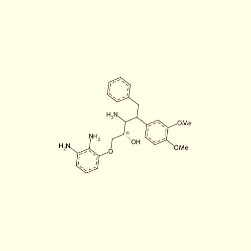 COc1ccc(C(Cc2ccccc2)C(N)[C@H](O)COc2cccc(N)c2N)cc1OC